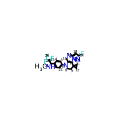 CN[C@@H](c1ccc(N2CCC3(CC3)c3c2cnc2cc(F)nn32)cc1)C(F)(F)F